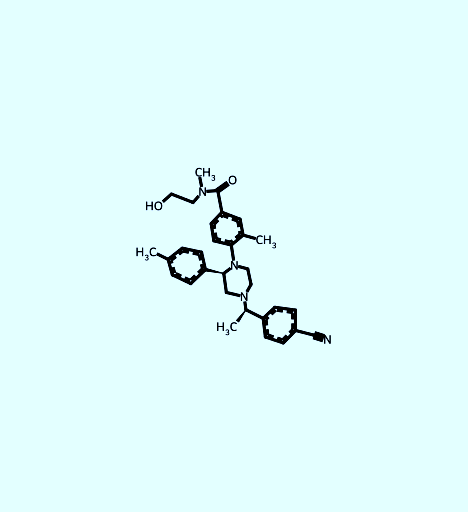 Cc1ccc([C@@H]2CN([C@H](C)c3ccc(C#N)cc3)CCN2c2ccc(C(=O)N(C)CCO)cc2C)cc1